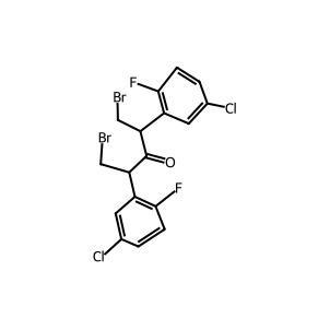 O=C(C(CBr)c1cc(Cl)ccc1F)C(CBr)c1cc(Cl)ccc1F